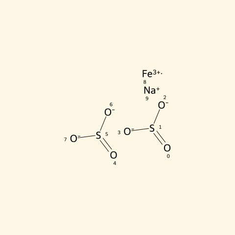 O=S([O-])[O-].O=S([O-])[O-].[Fe+3].[Na+]